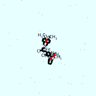 COc1ccc(CN(Cc2ccc(OC)cc2)c2cc(Cl)cc(-c3c(Cl)cc4c(N5CC6CCC(C5)N6C(=O)OC(C)(C)C)nc(F)nc4c3F)n2)cc1